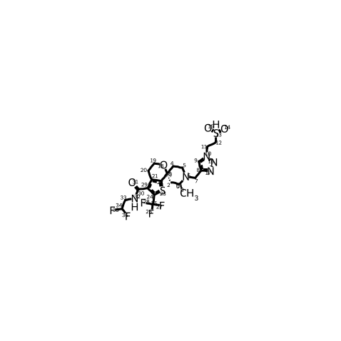 C[C@H]1C[C@@]2(CCN1Cc1cn(CC[SH](=O)=O)nn1)OCCc1c2sc(C(F)(F)F)c1C(=O)NCC(F)F